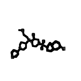 COCCN(C1CCN(c2ccncc2)CC1)N1CCN(S(=O)(=O)c2ccc3cc(Cl)ccc3c2)CC1=O